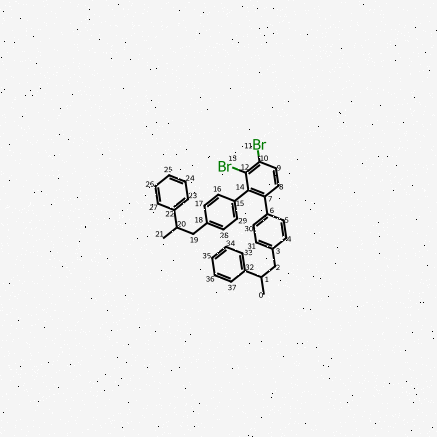 CC(Cc1ccc(-c2ccc(Br)c(Br)c2-c2ccc(CC(C)c3ccccc3)cc2)cc1)c1ccccc1